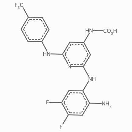 Nc1cc(F)c(F)cc1Nc1cc(NC(=O)O)cc(Nc2ccc(C(F)(F)F)cc2)n1